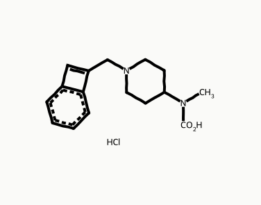 CN(C(=O)O)C1CCN(CC2=Cc3ccccc32)CC1.Cl